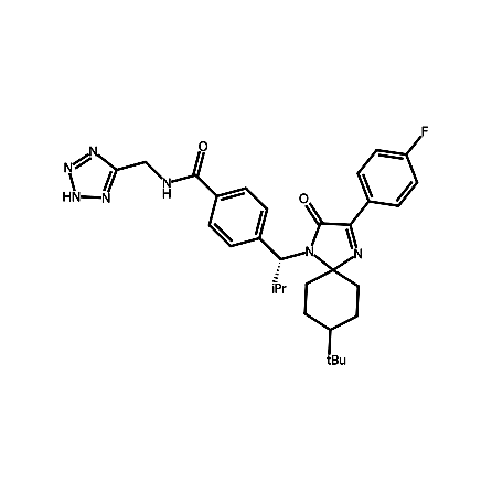 CC(C)[C@H](c1ccc(C(=O)NCc2nn[nH]n2)cc1)N1C(=O)C(c2ccc(F)cc2)=NC12CCC(C(C)(C)C)CC2